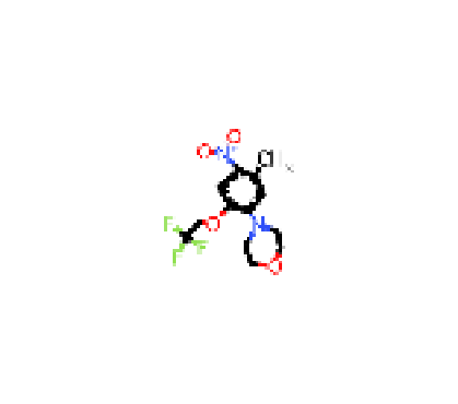 Cc1cc(N2CCOCC2)c(OCC(F)(F)F)cc1[N+](=O)[O-]